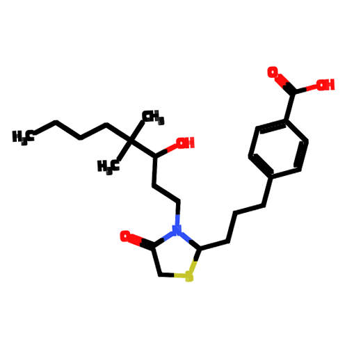 CCCCC(C)(C)C(O)CCN1C(=O)CSC1CCCc1ccc(C(=O)O)cc1